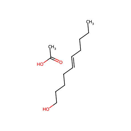 CC(=O)O.CCCCC=CCCCCO